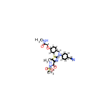 CNC(=O)COc1ccc(CN(c2ccc(C#N)cc2)c2nc(C(=O)NS(C)(=O)=O)c(C)s2)cc1